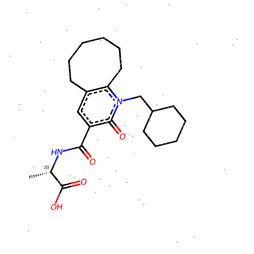 C[C@H](NC(=O)c1cc2c(n(CC3CCCCC3)c1=O)CCCCCC2)C(=O)O